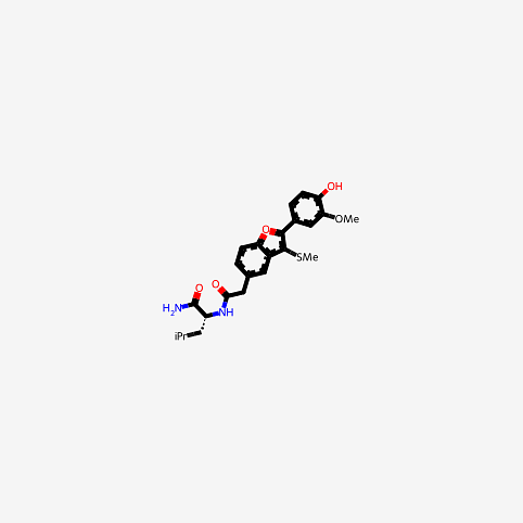 COc1cc(-c2oc3ccc(CC(=O)N[C@H](CC(C)C)C(N)=O)cc3c2SC)ccc1O